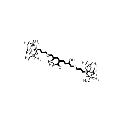 C[Si](C)(C)O[Si](C)(CCCOCC(O)CC=C(CC(O)COCCC[Si](C)(O[Si](C)(C)C)O[Si](C)(C)C)C(N)=O)O[Si](C)(C)C